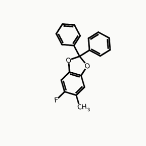 Cc1cc2c(cc1F)OC(c1ccccc1)(c1ccccc1)O2